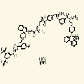 CN(Cc1ccc(C(=O)N(C)CCCN(C)C(=O)CO[C@H]2Cc3ccccc3C23CCN(CC[C@]2(c4ccc(F)cc4)CN(C(=O)c4cc(C(F)(F)F)cc(C(F)(F)F)c4)CO2)CC3)cc1)Cc1cccc(C(=O)N(C)CCN2CCC(N(C(=O)O)c3ccccc3-c3ccccc3)CC2)c1.Cl.Cl.Cl